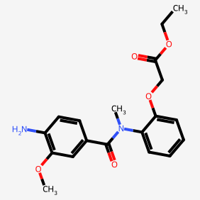 CCOC(=O)COc1ccccc1N(C)C(=O)c1ccc(N)c(OC)c1